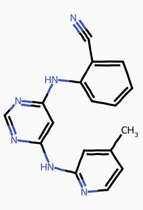 Cc1ccnc(Nc2cc(Nc3ccccc3C#N)ncn2)c1